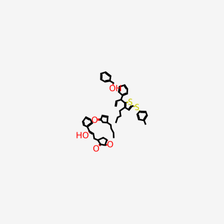 C=CC(c1ccccc1)c1sc(Sc2ccc(C)cc2)cc1CCCC.CCCCC1C=CC(=O)C1.O=C1C(CC=C(O)c2ccccc2)CC2OC12.OCc1ccccc1